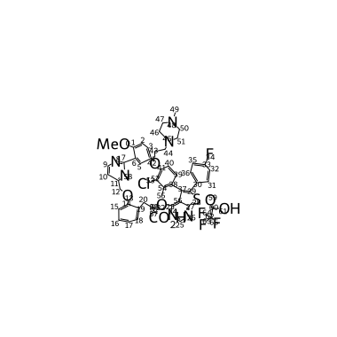 COc1ccccc1-c1nccc(COc2ccccc2C[C@@H](Oc2ncnc3sc(-c4ccc(F)cc4)c(-c4ccc(OCCN5CCN(C)CC5)c(Cl)c4C)c23)C(=O)O)n1.O=C(O)C(F)(F)F